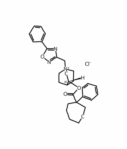 O=C(O[C@H]1C[N+]2(Cc3noc(-c4ccccc4)n3)CCC1CC2)C1(c2ccccc2)CCCCCC1.[Cl-]